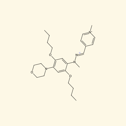 CCCCOc1cc(N(C)/N=C/c2cc[n+](C)cc2)c(OCCCC)cc1N1CCOCC1